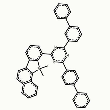 C[Si]1(C)c2c(-c3nc(-c4ccc(-c5ccccc5)cc4)nc(-c4cccc(-c5ccccc5)c4)n3)cccc2-c2ccc3ccccc3c21